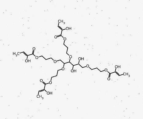 CC=C(O)C(=O)OCCCOCC(O)C(O)C(OCCCOC(=O)C(O)=CC)C(COCCCOC(=O)C(O)=CC)OCCCOC(=O)C(O)=CC